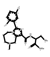 CNC(=O)C(CC(C)(C)C)NC(=O)c1nc(-c2cc(Cl)ccc2F)n2c1CN(C)CCC2